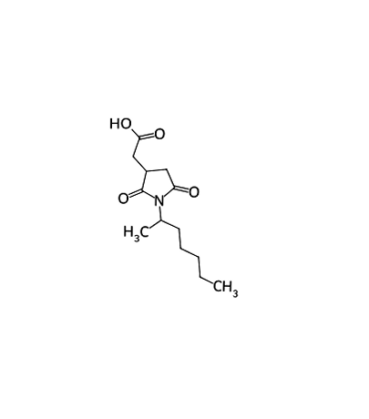 CCCCCC(C)N1C(=O)CC(CC(=O)O)C1=O